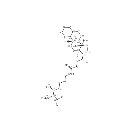 C[C@H](CCC(=O)NCCCCC(O)C(N(C)C)S(=O)(=O)O)[C@H]1CC[C@H]2[C@@H]3CCC4CCCC[C@]4(C)[C@H]3CC[C@]12C